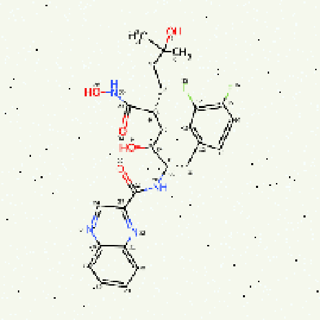 CC(C)(O)CC[C@H](C[C@H](O)[C@H](Cc1ccc(F)c(F)c1)NC(=O)c1cnc2ccccc2n1)C(=O)NO